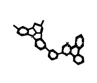 CC1=CC2c3cc(C)ccc3N3c4ccc(-c5cccc(-c6cnc7c8ccccc8c8ccccc8c7n6)c5)cc4C(=C1)C23